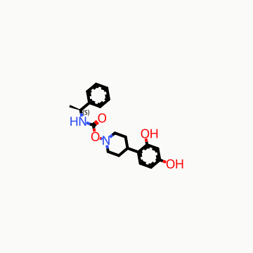 C[C@H](NC(=O)ON1CCC(c2ccc(O)cc2O)CC1)c1ccccc1